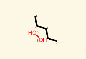 CCCCC.OO